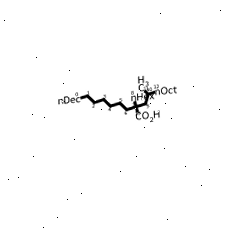 CCCCCCCCCCCCCCCCC(CCCCCC)(CC(C)CCCCCCCC)C(=O)O